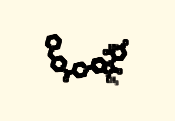 Cn1c(=O)n(C2CCC(=O)NC2=O)c2ccc(N3CCC(C(=O)N4CCC(CN5CCCCC5)CC4)CC3)cc21